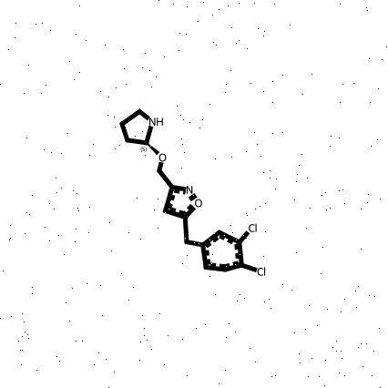 Clc1ccc(Cc2cc(CO[C@H]3CCCN3)no2)cc1Cl